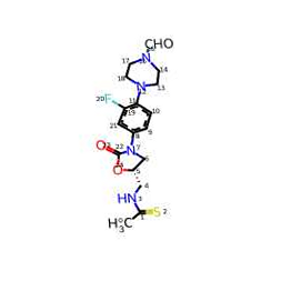 CC(=S)NC[C@H]1CN(c2ccc(N3CCN(C=O)CC3)c(F)c2)C(=O)O1